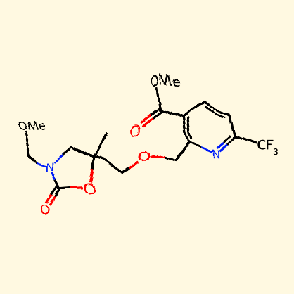 COCN1CC(C)(COCc2nc(C(F)(F)F)ccc2C(=O)OC)OC1=O